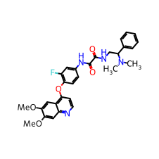 COc1cc2nccc(Oc3ccc(NC(=O)C(=O)NCC(c4ccccc4)N(C)C)cc3F)c2cc1OC